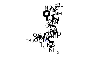 CC(C)(C)OC(=O)NCc1cn([C@]2(C(=O)OCc3ccc([N+](=O)[O-])cc3)CN3C(=O)[C@@H](NC(=O)/C(=N\OC(C)(C)C(=O)OC(C)(C)C)c4csc(N)n4)[C@H]3S2)nn1